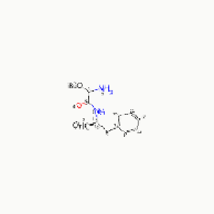 CC(C)COC(N)C(=O)N[C@H](C=O)Cc1ccccc1